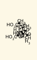 C=C(C)C(=O)O.C=C(C)C(=O)O.CC(O)N1C(=O)N(C(C)O)C(C)(C)C1=O